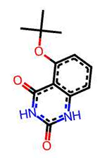 CC(C)(C)Oc1cccc2[nH]c(=O)[nH]c(=O)c12